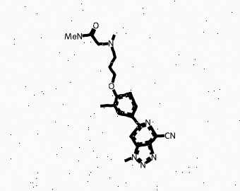 CNC(=O)CN(C)CCCOc1ccc(-c2cc3c(nnn3C)c(C#N)n2)cc1C